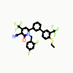 CCSc1ccc(-c2cccc(-c3cc(C(F)(F)F)c(C#N)c(=O)n3Cc3ccc(F)cc3F)c2)cc1C(F)(F)F